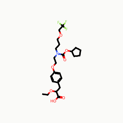 CCOC(Cc1ccc(OCCN(CCCOCC(F)(F)F)C(=O)OC2CCCC2)cc1)C(=O)O